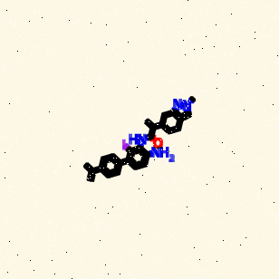 C=C(C)c1ccc(-c2ccc(N)c(NC(=O)C(C)C3CCc4cn(C)nc4C3)c2I)cc1